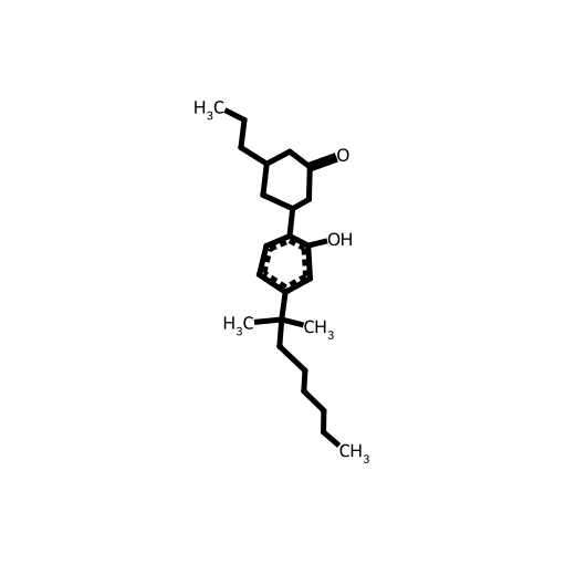 CCCCCCC(C)(C)c1ccc(C2CC(=O)CC(CCC)C2)c(O)c1